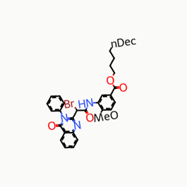 CCCCCCCCCCCCCCOC(=O)c1ccc(OC)c(NC(=O)C(Br)c2nc3ccccc3c(=O)n2-c2ccccc2)c1